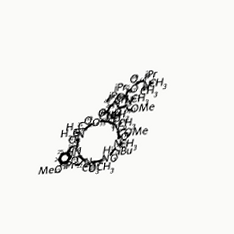 CC[C@H](C)[C@H]1C(=O)N[C@@H](C)C(=O)N(C)[C@@H](CC(C)C)C(=O)N[C@@H](Cc2ccc(OC)cc2)C(=O)N(C)[C@@H](C)C(=O)O[C@H](C)[C@H](N(C)C(=O)[C@H](CC(C)C)N(C)C(=O)[C@H](COC)N(C)C(=O)[C@@H](OC(=O)[C@H](C(C)C)N(C)C)C(C)C)C(=O)N(C)[C@@H](COC)C(=O)N1C